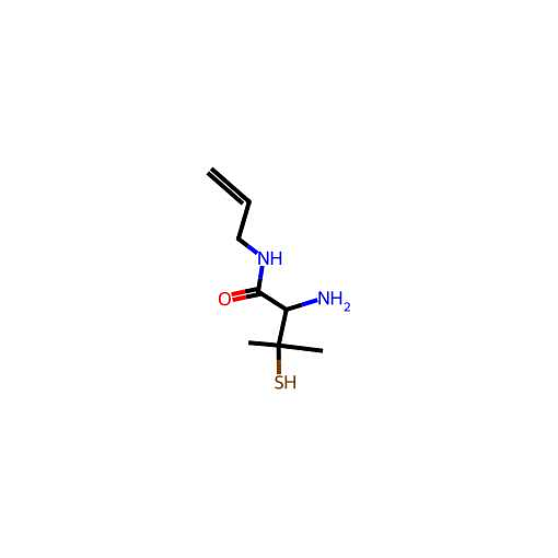 C=CCNC(=O)C(N)C(C)(C)S